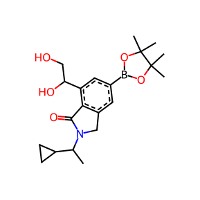 CC(C1CC1)N1Cc2cc(B3OC(C)(C)C(C)(C)O3)cc(C(O)CO)c2C1=O